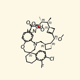 CO[C@@H](C1=C[C@@H]([C@H](C)[C@@H](C)S(N)(=O)=O)C1)[C@@H]1CC[C@H]1CN1C[C@@]2(CCCc3c2ccc(Cl)c3F)COc2ccc(C(=O)O)cc21